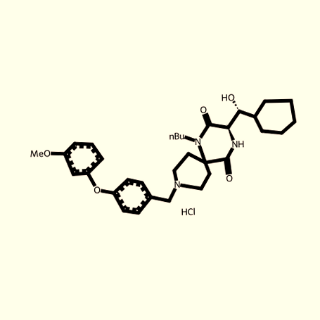 CCCCN1C(=O)[C@@H]([C@H](O)C2CCCCC2)NC(=O)C12CCN(Cc1ccc(Oc3cccc(OC)c3)cc1)CC2.Cl